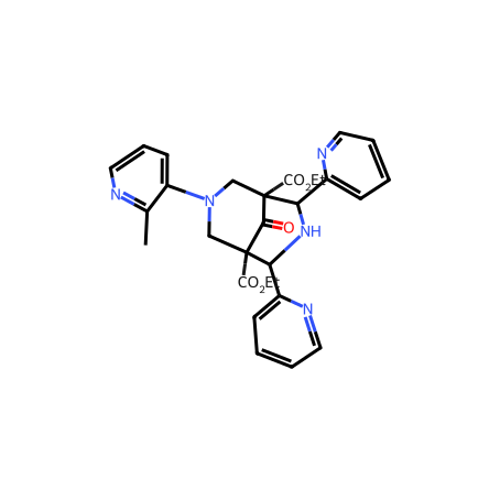 CCOC(=O)C12CN(c3cccnc3C)CC(C(=O)OCC)(C1=O)C(c1ccccn1)NC2c1ccccn1